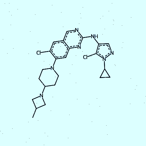 CC1CN(C2CCN(c3cc4nc(Nc5cnn(C6CC6)c5Cl)ncc4cc3Cl)CC2)C1